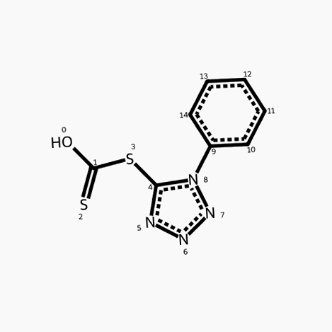 OC(=S)Sc1nnnn1-c1ccccc1